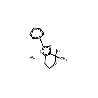 CCC1(C)OCCc2nc(-c3ccccc3)sc21.Cl